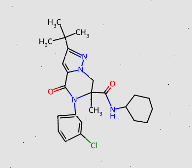 CC(C)(C)c1cc2n(n1)CC(C)(C(=O)NC1CCCCC1)N(c1cccc(Cl)c1)C2=O